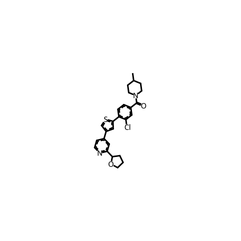 CC1CCN(C(=O)c2ccc(-c3cc(-c4ccnc(C5CCCO5)c4)cs3)c(Cl)c2)CC1